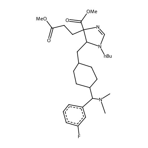 CCCCN1C=NC(CCC(=O)OC)(C(=O)OC)C1CC1CCC(C(c2cccc(F)c2)N(C)C)CC1